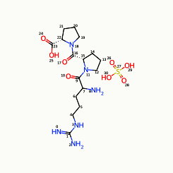 N=C(N)NCCCC(N)C(=O)N1CCC[C@H]1C(=O)N1CCC[C@H]1C(=O)O.O=S(=O)(O)O